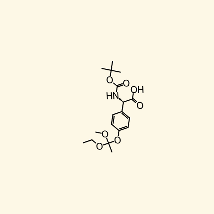 CCOC(C)(OC)Oc1ccc([C@@H](NC(=O)OC(C)(C)C)C(=O)O)cc1